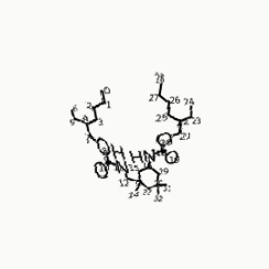 CCCCC(CC)COC(=O)NCC1(C)CC(NC(=O)OCC(CC)CCCC)CC(C)(C)C1